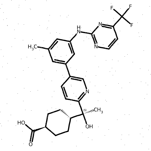 Cc1cc(Nc2nccc(C(F)(F)F)n2)cc(-c2ccc([C@@](C)(O)[C@H]3CC[C@H](C(=O)O)CC3)nc2)c1